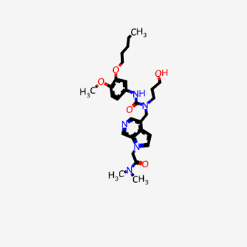 CCCCCOc1cc(NC(=O)N(CCCO)Cc2cncc3c2ccn3CC(=O)N(C)C)ccc1OC